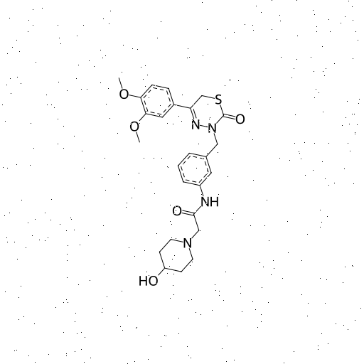 COc1ccc(C2=NN(Cc3cccc(NC(=O)CN4CCC(O)CC4)c3)C(=O)SC2)cc1OC